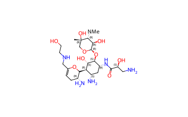 CN[C@@H]1[C@@H](O)[C@@H](O[C@@H]2[C@@H](O)[C@H](C3OC(CNCCO)=CC[C@H]3N)[C@@H](N)C[C@H]2NC(=O)[C@@H](O)CN)OC[C@]1(C)O